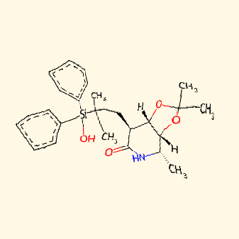 C[C@@H]1NC(=O)[C@@H](CC(C)(C)[Si](O)(c2ccccc2)c2ccccc2)[C@@H]2OC(C)(C)O[C@@H]21